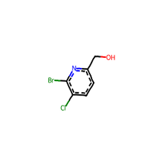 OCc1ccc(Cl)c(Br)n1